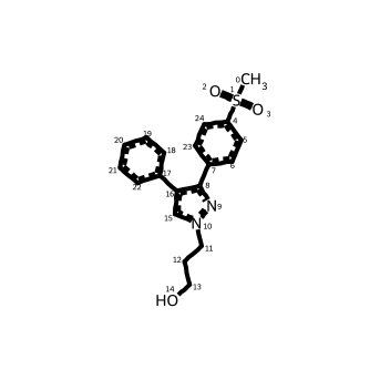 CS(=O)(=O)c1ccc(-c2nn(CCCO)cc2-c2ccccc2)cc1